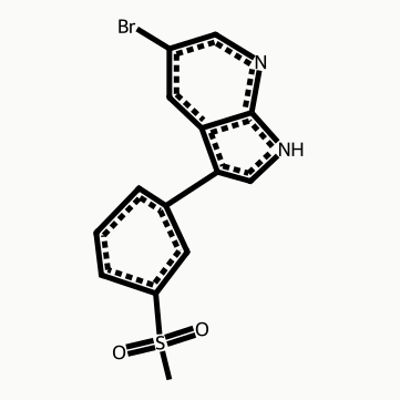 CS(=O)(=O)c1cccc(-c2c[nH]c3ncc(Br)cc23)c1